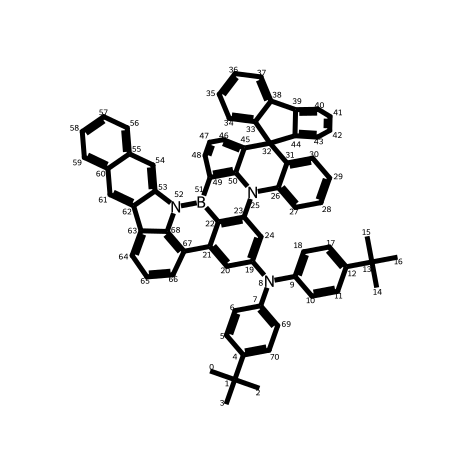 CC(C)(C)c1ccc(N(c2ccc(C(C)(C)C)cc2)c2cc3c4c(c2)N2c5ccccc5C5(c6ccccc6-c6ccccc65)c5cccc(c52)B4n2c4cc5ccccc5cc4c4cccc-3c42)cc1